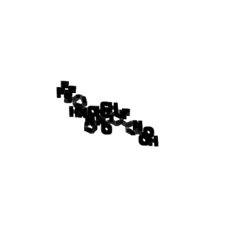 COc1cc(F)c(-c2ccc(C(=O)O)nc2)cc1C(=O)NC1C2C=CC(C2)N1C(=O)Nc1cccc(SC(F)(F)F)c1